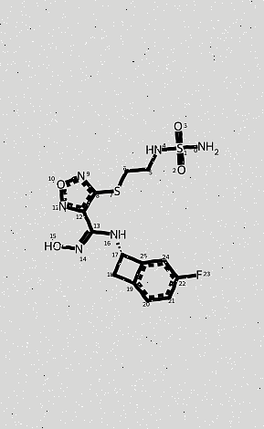 NS(=O)(=O)NCCSc1nonc1/C(=N\O)N[C@H]1Cc2ccc(F)cc21